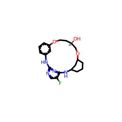 O[C@@H]1CCOc2cccc(c2)Nc2ncc(F)c(n2)NC2CCCC(C2)OC1